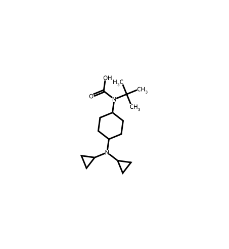 CC(C)(C)N(C(=O)O)C1CCC(N(C2CC2)C2CC2)CC1